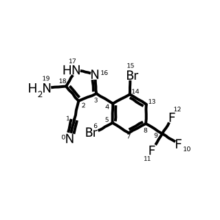 N#Cc1c(-c2c(Br)cc(C(F)(F)F)cc2Br)n[nH]c1N